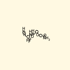 NC(=O)c1ccc(Oc2ccccc2CNC(=O)Nc2cc(CN3CCNCC3)cc(C(F)(F)F)c2)cc1